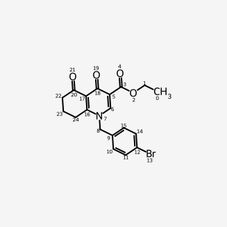 CCOC(=O)c1cn(Cc2ccc(Br)cc2)c2c(c1=O)C(=O)CCC2